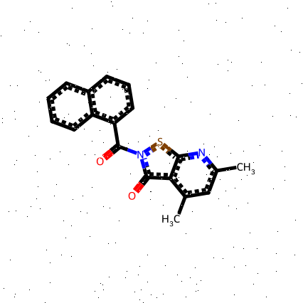 Cc1cc(C)c2c(=O)n(C(=O)c3cccc4ccccc34)sc2n1